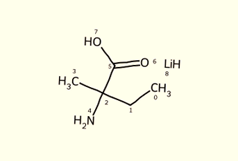 CCC(C)(N)C(=O)O.[LiH]